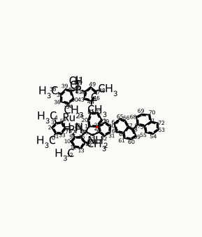 Cc1cc(C)[c]([Ru+2])c(Pc2cc(C)cc(C)c2[C@@](N)(c2ccccc2)C(N)c2ccccc2)c1.Cc1cc(C)cc(Pc2cc(C)cc(C)c2)c1.[Cl-].[Cl-].c1ccc2c(-c3cccc4ccccc34)cccc2c1